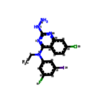 NNc1nc(N(CC(F)(F)F)c2cc(F)cc(I)c2)c2ccc(Cl)cc2n1